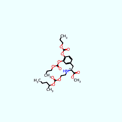 CCCOC(=O)Oc1ccc(C[C@H](NCCOC(=O)OC(C)CCC)C(=O)OC)cc1OC(=O)OCCC